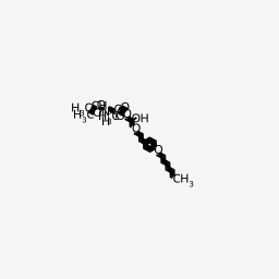 CCCCCCCCOc1ccc(CCCOC[C@H](O)COP(=O)(OC)OCCNC(=O)OC(C)(C)C)cc1